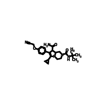 CC(C)(C)NC(=O)N1CCN2C(C3CC3)=C(c3ccc(OCC#N)cc3)C(C(N)=O)C2C1